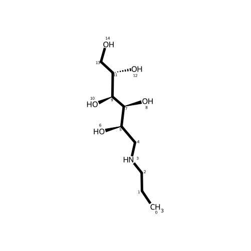 CCCNC[C@@H](O)[C@H](O)[C@@H](O)[C@@H](O)CO